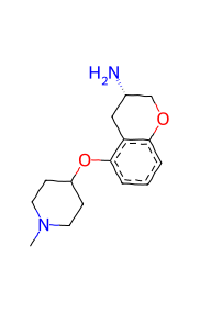 CN1CCC(Oc2cccc3c2C[C@H](N)CO3)CC1